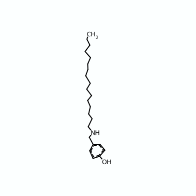 CCCCCCCCCCCCCCCCNCc1ccc(O)cc1